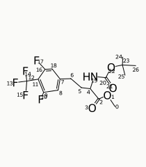 COC(=O)C(CCc1cc(F)c(C(F)(F)F)c(F)c1)NC(=O)OC(C)(C)C